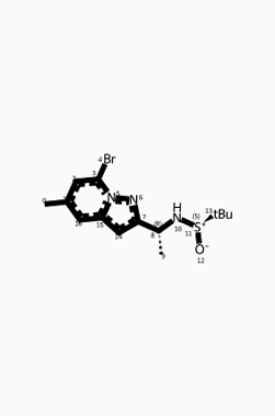 Cc1cc(Br)n2nc([C@@H](C)N[S@+]([O-])C(C)(C)C)cc2c1